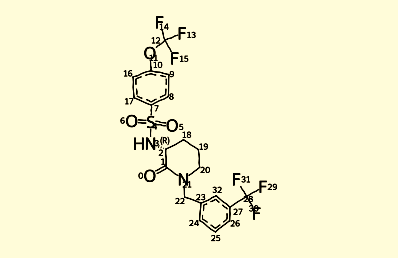 O=C1[C@H](NS(=O)(=O)c2ccc(OC(F)(F)F)cc2)CCCN1Cc1cccc(C(F)(F)F)c1